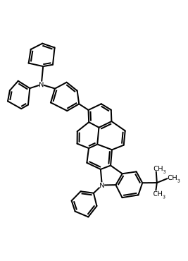 CC(C)(C)c1ccc2c(c1)c1c3ccc4ccc(-c5ccc(N(c6ccccc6)c6ccccc6)cc5)c5ccc(cc1n2-c1ccccc1)c3c45